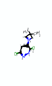 CC1(C)CN(c2cc(Cl)nnc2Cl)C1